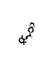 CC1=C(C=CC(=O)N2CCC3(CC2)OCCO3)C(C)(C)CCC1